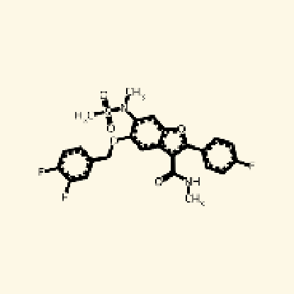 CNC(=O)c1c(-c2ccc(F)cc2)oc2cc(N(C)S(C)(=O)=O)c(OCc3ccc(F)c(F)c3)cc12